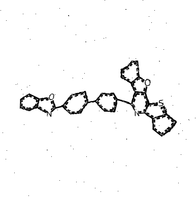 c1ccc2oc(-c3ccc(-c4ccc(-c5nc6c7ccccc7sc6c6oc7ccccc7c56)cc4)cc3)nc2c1